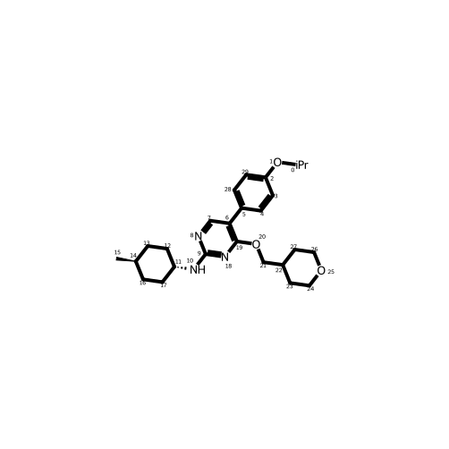 CC(C)Oc1ccc(-c2cnc(N[C@H]3CC[C@H](C)CC3)nc2OCC2CCOCC2)cc1